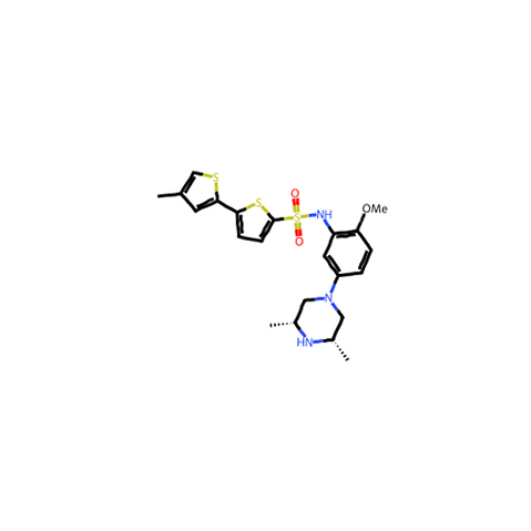 COc1ccc(N2C[C@@H](C)N[C@@H](C)C2)cc1NS(=O)(=O)c1ccc(-c2cc(C)cs2)s1